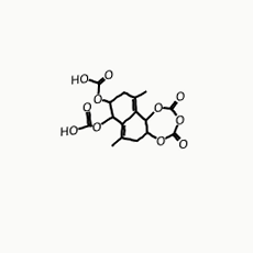 CC1=C2C(=C(C)CC(OC(=O)O)C2OC(=O)O)C2OC(=O)OC(=O)OC2C1